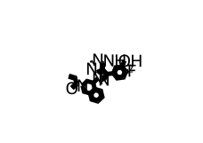 C=CC(=O)N1Cc2ccccc2C(n2nc(-c3ccc(F)c(O)c3)c3c(N)ncnc32)C1